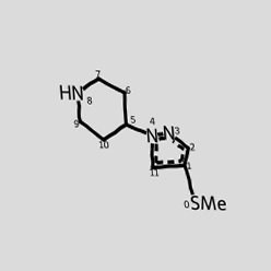 CSc1cnn(C2CCNCC2)c1